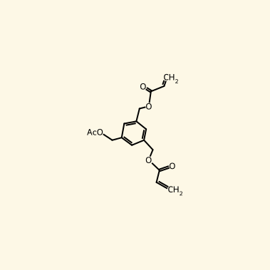 C=CC(=O)OCc1cc(COC(C)=O)cc(COC(=O)C=C)c1